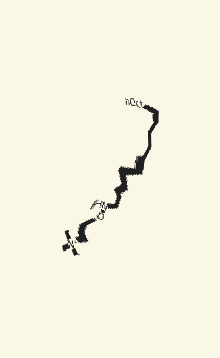 CCCCCCCC/C=C\CCCCCCCCNOCC[N+](C)(C)C